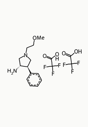 COCCN1C[C@@H](N)[C@H](c2ccccc2)C1.O=C(O)C(F)(F)F.O=C(O)C(F)(F)F